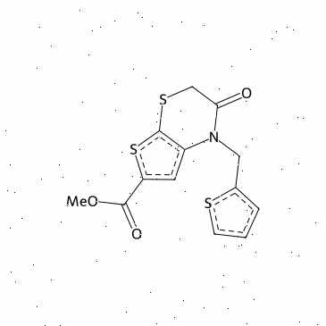 COC(=O)c1cc2c(s1)SCC(=O)N2Cc1cccs1